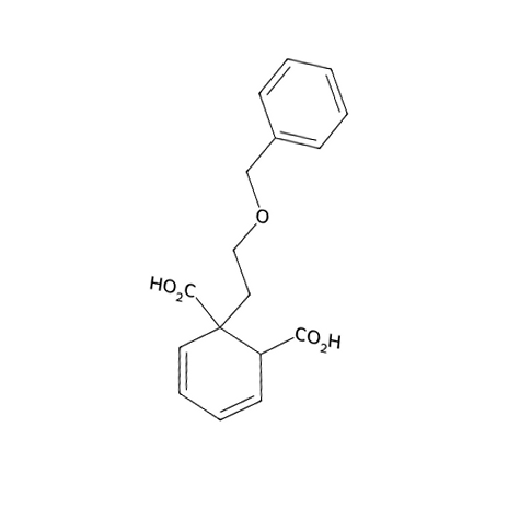 O=C(O)C1C=CC=CC1(CCOCc1ccccc1)C(=O)O